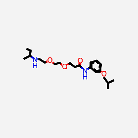 CCC(C)NCCOCCOCCC(=O)Nc1cccc(OCC(C)C)c1